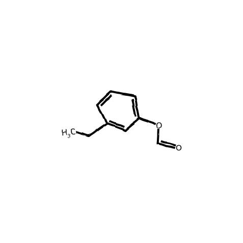 CCc1cccc(OC=O)c1